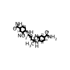 CC(C)(CCCNc1ccc(C(N)=O)cc1[N+](=O)[O-])Nc1ccc(C(N)=O)cc1[N+](=O)[O-]